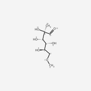 COC[C@@H](O)[C@@H](O)[C@H](O)[C@@](C)(O)C=O